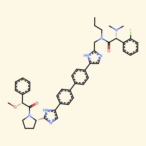 CCCN(Cc1ncc(-c2ccc(-c3ccc(-c4cnc([C@@H]5CCCN5C(=O)[C@H](OC)c5ccccc5)[nH]4)cc3)cc2)[nH]1)C(=O)[C@@H](c1ccccc1F)N(C)C